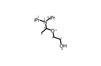 CC(C)N(C(C)C)C(C)OCCO